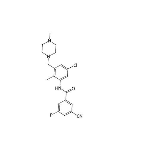 Cc1c(CN2CCN(C)CC2)cc(Cl)cc1NC(=O)c1cc(F)cc(C#N)c1